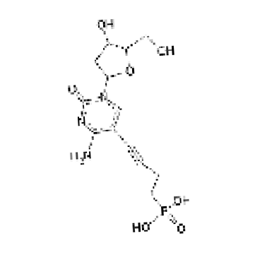 Nc1nc(=O)n(C2CC(O)C(CO)O2)cc1C#CCCP(=O)(O)O